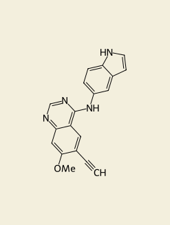 C#Cc1cc2c(Nc3ccc4[nH]ccc4c3)ncnc2cc1OC